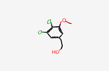 COc1cc(CO)cc(Cl)c1Cl